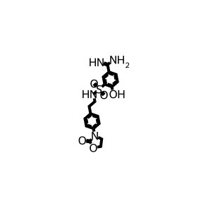 N=C(N)c1ccc(O)c(S(=O)(=O)NCCc2ccc(N3CCOC3=O)cc2)c1